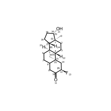 C[C@]12CC[C@H]3[C@@H](CCC4CC(=O)[C@H](F)C[C@@]43C)[C@@H]1CC[C@@H]2O